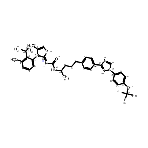 Cc1cccc(-n2c(C)cs/c2=N\C(=O)NC(C)CCCc2ccc(-c3ncn(-c4ccc(OC(F)(F)F)cc4)n3)cc2)c1C(C)C